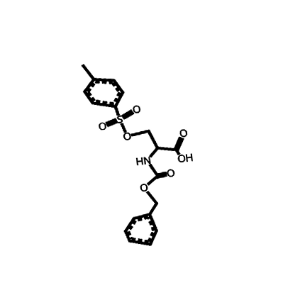 Cc1ccc(S(=O)(=O)OCC(NC(=O)OCc2ccccc2)C(=O)O)cc1